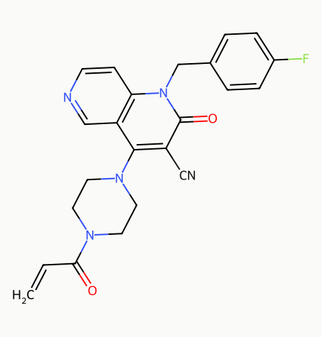 C=CC(=O)N1CCN(c2c(C#N)c(=O)n(Cc3ccc(F)cc3)c3ccncc23)CC1